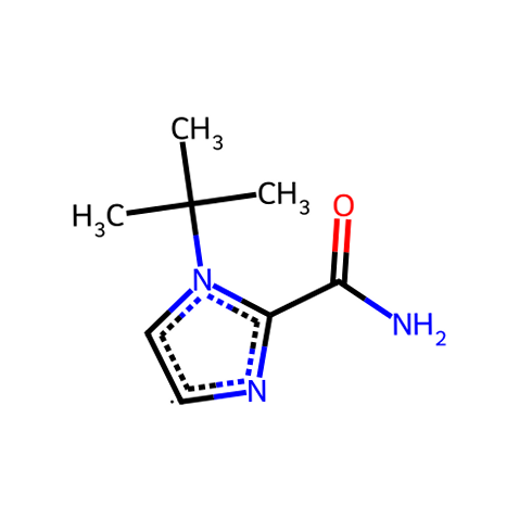 CC(C)(C)n1c[c]nc1C(N)=O